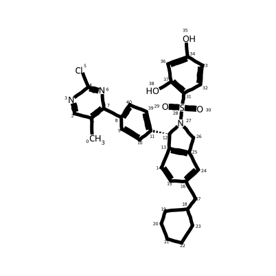 Cc1cnc(Cl)nc1-c1ccc([C@H]2c3ccc(CC4CCCCC4)cc3CN2S(=O)(=O)c2ccc(O)cc2O)cc1